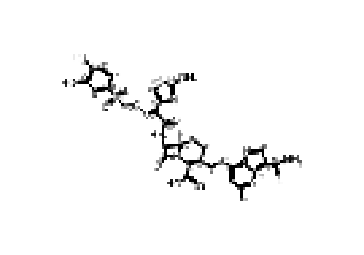 Cc1cc(SCC2=C(C(=O)O)N3C(=O)[C@@H](NC(=O)C(=NOCS(=O)(=O)c4ccc(O)c(O)c4)c4csc(N)n4)[C@H]3SC2)n2ncc(C(N)=O)c2n1